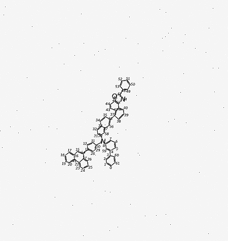 c1ccc(-c2cccc(N(c3ccc(-c4cc5ccccc5c5ccccc45)cc3)c3ccc4ccc(-c5cccc6c5ccc5oc(-c7ccccc7)nc56)cc4c3)c2)cc1